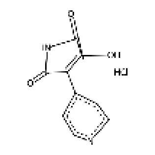 Cl.O=C1NC(=O)C(c2ccncc2)=C1O